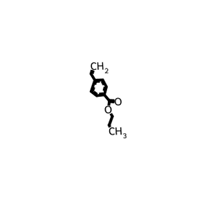 C=Cc1ccc(C(=O)OCCC)cc1